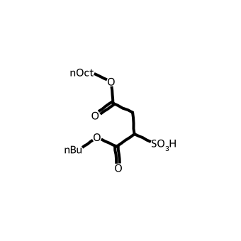 CCCCCCCCOC(=O)CC(C(=O)OCCCC)S(=O)(=O)O